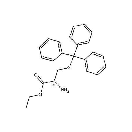 CCOC(=O)[C@@H](N)CSC(c1ccccc1)(c1ccccc1)c1ccccc1